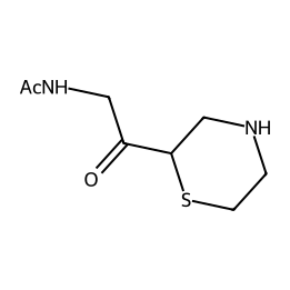 CC(=O)NCC(=O)C1CNCCS1